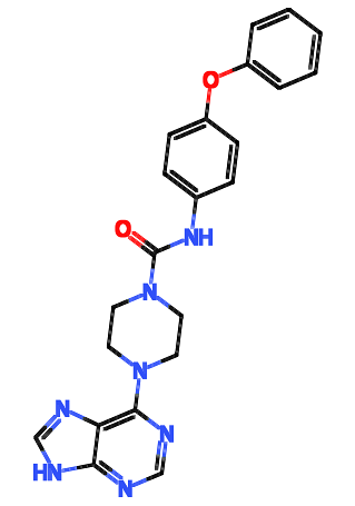 O=C(Nc1ccc(Oc2ccccc2)cc1)N1CCN(c2ncnc3[nH]cnc23)CC1